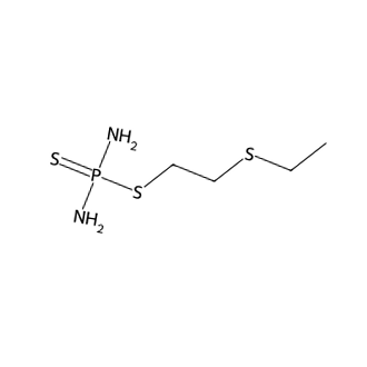 CCSCCSP(N)(N)=S